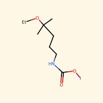 CCOC(C)(C)CCCNC(=O)OI